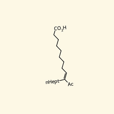 CCCCCCC/C(=C\CCCCCCCC(=O)O)C(C)=O